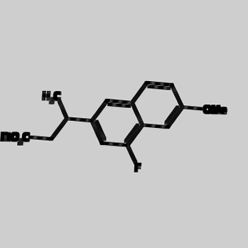 CCOC(=O)CC(C)c1cc(F)c2cc(OC)ccc2c1